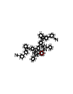 N#Cc1cccc(-c2ccc3c(c2)c2ccccc2n3-c2ccc(-c3cccc(-c4ccc(-n5c6ccccc6c6cc(-c7cccc(C#N)c7)ccc65)cc4-c4nc(-c5ccccc5)nc(-c5ccccc5)n4)c3)c(-c3nc(-c4ccccc4)nc(-c4ccccc4)n3)c2)c1